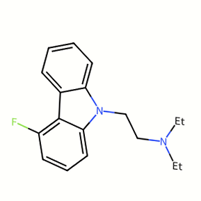 CCN(CC)CCn1c2ccccc2c2c(F)cccc21